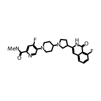 CNC(=O)c1cc(F)c(N2CCC(N3CCC(c4cc5cccc(F)c5c(=O)[nH]4)C3)CC2)cn1